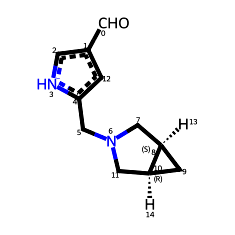 O=Cc1c[nH]c(CN2C[C@H]3C[C@H]3C2)c1